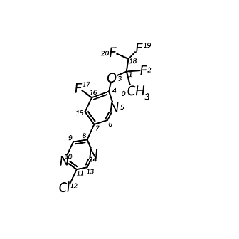 CC(F)(Oc1ncc(-c2cnc(Cl)cn2)cc1F)C(F)F